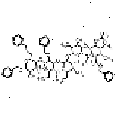 CCC1O[C@@H](OC2[C@H](O[C@@H]3C(OCc4ccccc4)[C@H](O[C@@H]4C(COCc5ccccc5)O[C@@H](OCc5ccccc5)C(C)[C@H]4C)OC(CO)[C@H]3O)OC(CC)[C@H](C)[C@H]2C)C(C)[C@@H](C)[C@@H]1O[C@@H]1OC(COCc2ccccc2)[C@H](C)[C@H](C)C1OC(C)=O